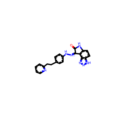 O=C1Nc2ccc3[nH]nnc3c2/C1=N/Nc1ccc(CCc2ccccn2)cc1